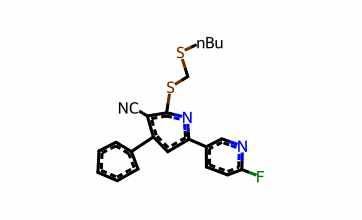 CCCCSCSc1nc(-c2ccc(F)nc2)cc(-c2ccccc2)c1C#N